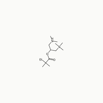 CCC(C)(C)C(=O)OC(C[SiH](C)C)C[Si](C)(C)C